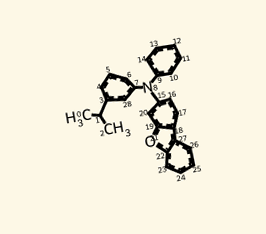 CC(C)c1cccc(N(c2ccccc2)c2ccc3c(c2)oc2ccccc23)c1